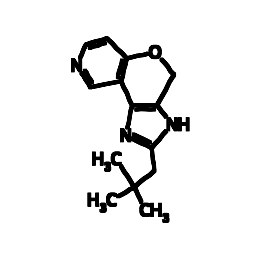 CC(C)(C)Cc1nc2c([nH]1)COc1ccncc1-2